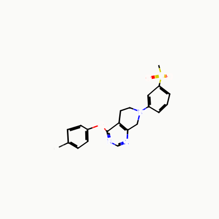 CS(=O)(=O)c1cccc(N2CCc3c(ncnc3Oc3ccc(C(F)(F)F)cc3)C2)c1